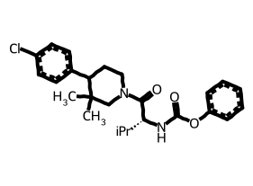 CC(C)[C@@H](NC(=O)Oc1ccccc1)C(=O)N1CCC(c2ccc(Cl)cc2)C(C)(C)C1